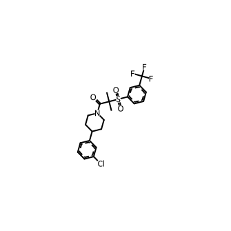 CC(C)(C(=O)N1CCC(c2cccc(Cl)c2)CC1)S(=O)(=O)c1cccc(C(F)(F)F)c1